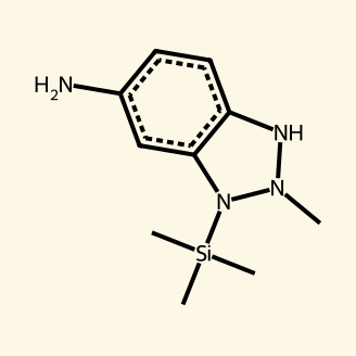 CN1Nc2ccc(N)cc2N1[Si](C)(C)C